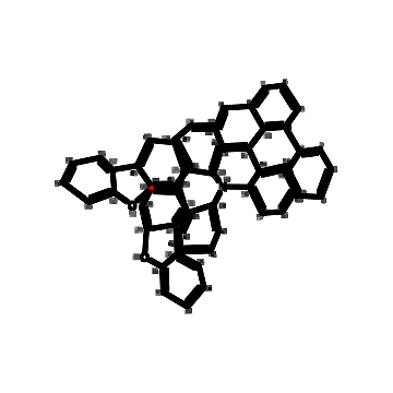 c1ccc(-c2cccc3cccc(-c4ccccc4N(c4ccccc4-c4ccc5oc6ccccc6c5c4)c4ccccc4-c4cccc5c4oc4ccccc45)c23)cc1